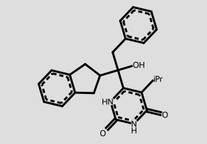 CC(C)c1c(C(O)(Cc2ccccc2)C2Cc3ccccc3C2)[nH]c(=O)[nH]c1=O